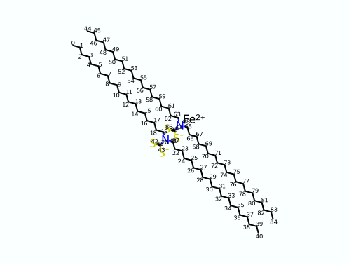 CCCCCCCCCCCCCCCCCCCCN(CCCCCCCCCCCCCCCCCCCC)C(=S)[S-].CCCCCCCCCCCCCCCCCCCCN(CCCCCCCCCCCCCCCCCCCC)C(=S)[S-].[Fe+2]